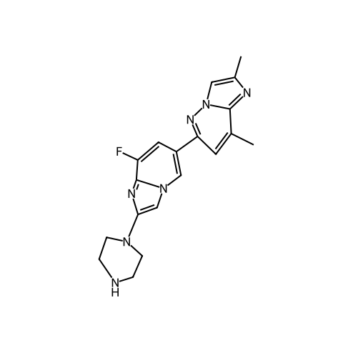 Cc1cn2nc(-c3cc(F)c4nc(N5CCNCC5)cn4c3)cc(C)c2n1